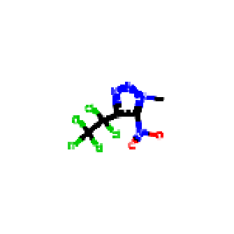 Cn1nnc(C(Cl)(Cl)C(Cl)(Cl)Cl)c1[N+](=O)[O-]